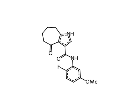 COc1ccc(F)c(NC(=O)c2c[nH]c3c2C(=O)CCCC3)c1